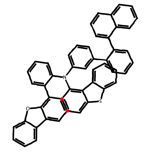 c1cc(-c2ccccc2-c2cccc3ccccc23)cc(N(c2ccccc2-c2cccc3c2oc2ccccc23)c2cccc3sc4ccccc4c23)c1